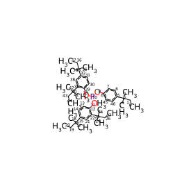 CCC(C)(C)c1ccc(OP(Oc2ccc(C(C)(C)CC)cc2C(C)(C)CC)Oc2ccc(C(C)(C)CC)cc2C(C)(C)CC)cc1